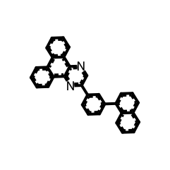 c1cc(-c2cnc3c4ccccc4c4ccccc4c3n2)cc(-c2cccc3ccccc23)c1